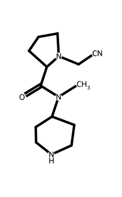 CN(C(=O)C1CCCN1CC#N)C1CCNCC1